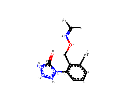 CCC(C)=NOCc1c(CC)cccc1-n1nn[nH]c1=O